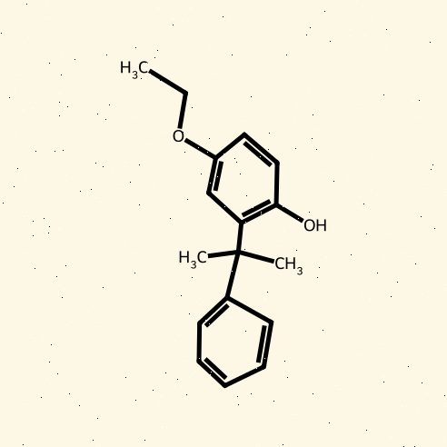 CCOc1ccc(O)c(C(C)(C)c2ccccc2)c1